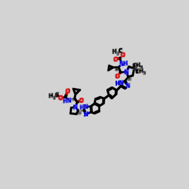 COC(=O)N[C@@H](C(=O)N1C[Si](C)(C)C[C@H]1c1ncc(-c2ccc(-c3ccc4c(ccc5nc([C@@H]6CCCN6C(=O)[C@H](NC(=O)OC)C6CC6)[nH]c54)c3)cc2)[nH]1)C1CC1